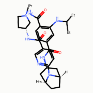 CCC(CC)Nc1cc(C(=O)N[C@H]2C[C@H]3CC[C@@H](C2)N3c2ccc(C(=O)N[C@@H]3CCN(C(C)C)C3)cn2)ccc1C(N)=O